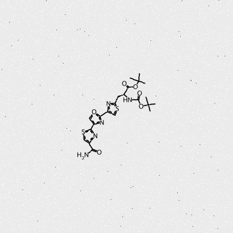 CC(C)(C)OC(=O)N[C@@H](Cc1nc(-c2nc(-c3nc(C(N)=O)cs3)co2)cs1)C(=O)OC(C)(C)C